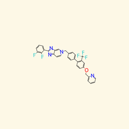 Fc1cccc(-c2nc3ccn(Cc4ccc(-c5ccc(OCc6ccccn6)cc5C(F)(F)F)cc4)cc-3n2)c1F